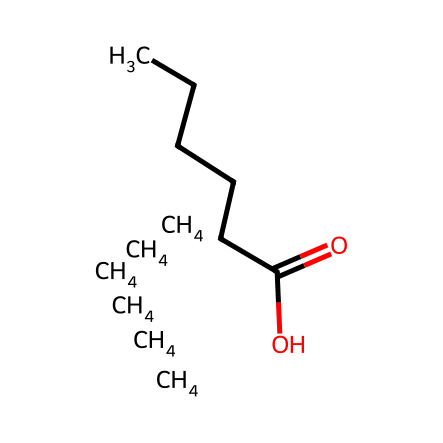 C.C.C.C.C.C.CCCCCC(=O)O